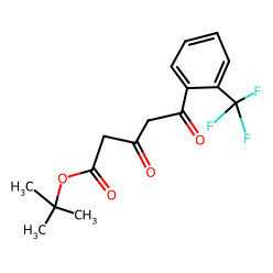 CC(C)(C)OC(=O)CC(=O)CC(=O)c1ccccc1C(F)(F)F